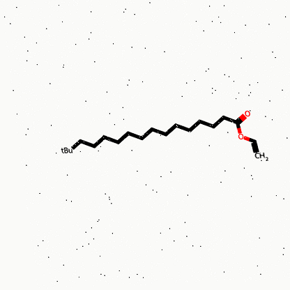 C=COC(=O)CCCCCCCCCCCCCC(C)(C)C